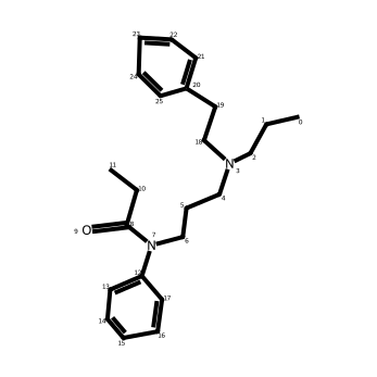 CCCN(CCCN(C(=O)CC)c1ccccc1)CCc1ccccc1